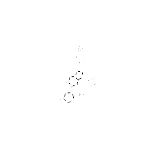 Fc1cnc(C(F)(F)F)c(-c2cc3c(cc2F)c(CNSC2CC2)cn3C2CCC2)c1